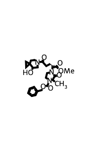 COC(=O)[C@@H](CCC(=O)N1CCC2(CC2)C(O)C1)N1CCN(C(=O)OCc2ccccc2)C(C)C1=O